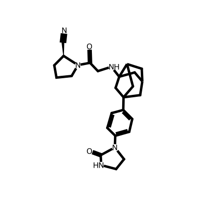 N#C[C@@H]1CCCN1C(=O)CNC12CC3CC1CC(c1ccc(N4CCNC4=O)cc1)(C3)C2